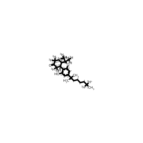 [2H]C([2H])(C)CCCCC(C)(C)c1cc(O)c2c(c1)OC(C([2H])([2H])[2H])(C([2H])([2H])[2H])[C@@H]1CC([2H])([2H])C(=O)C([2H])([2H])[C@@H]21